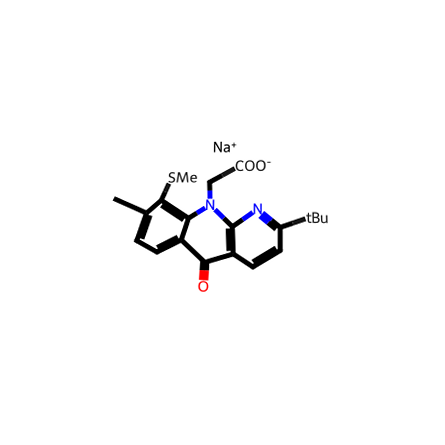 CSc1c(C)ccc2c(=O)c3ccc(C(C)(C)C)nc3n(CC(=O)[O-])c12.[Na+]